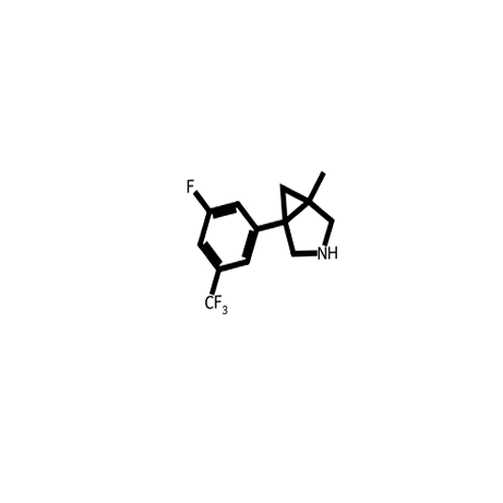 CC12CNCC1(c1cc(F)cc(C(F)(F)F)c1)C2